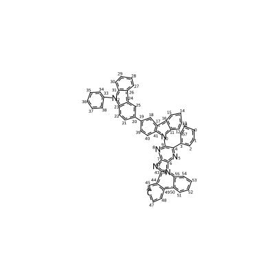 c1ccc(-c2nc3c(nc2-n2c4ccccc4c4cc(-c5ccc6c(c5)c5ccccc5n6-c5ccccc5)ccc42)nc2c4ccccc4c4ccccc4n32)cc1